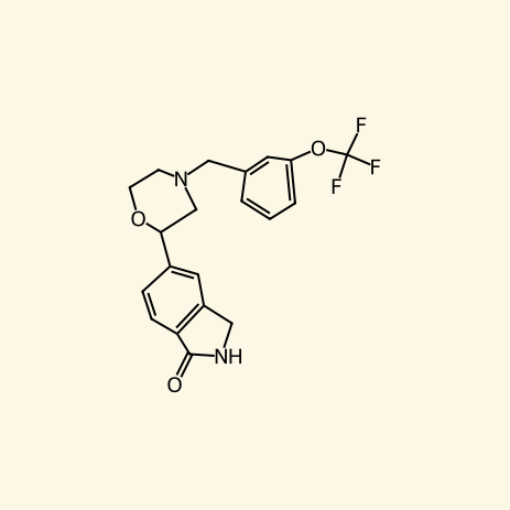 O=C1NCc2cc(C3CN(Cc4cccc(OC(F)(F)F)c4)CCO3)ccc21